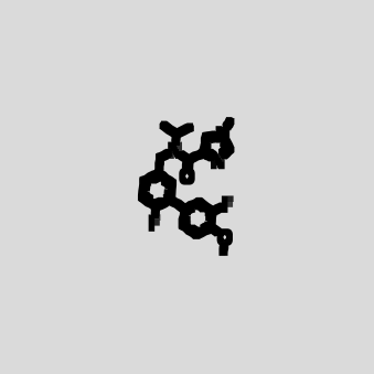 COc1ccc(-c2cc(CN(C(=O)c3cn(C)cn3)C(C)C)ccc2F)cc1F